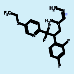 N/N=C\N(N)CC(c1ccc(F)cc1F)C(F)(F)c1ccc(SCC(F)(F)F)cn1